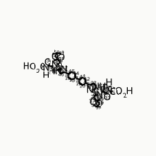 CC(C)[C@@H](C(=O)NC(=O)O)N1CC2(C[C@H]1c1nc(-c3ccc(-c4ccc(-c5c[nH]c([C@@H]6CC7(CN6[C@H](C(=O)NC(=O)O)C(C)C)OCCO7)n5)cc4)cc3)c[nH]1)OCCO2